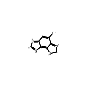 Fc1cc2c(c3c1=NCS3)N=NN=2